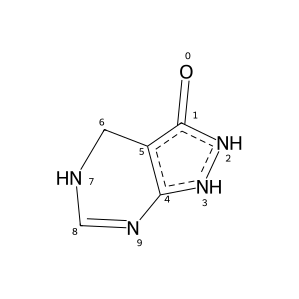 O=c1[nH][nH]c2c1CNC=N2